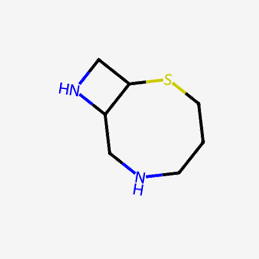 C1CNCC2NCC2SC1